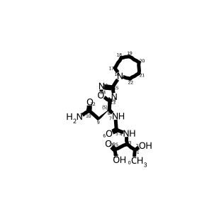 CC(O)C(NC(=O)N[C@@H](CC(N)=O)c1nc(N2CCCCCC2)no1)C(=O)O